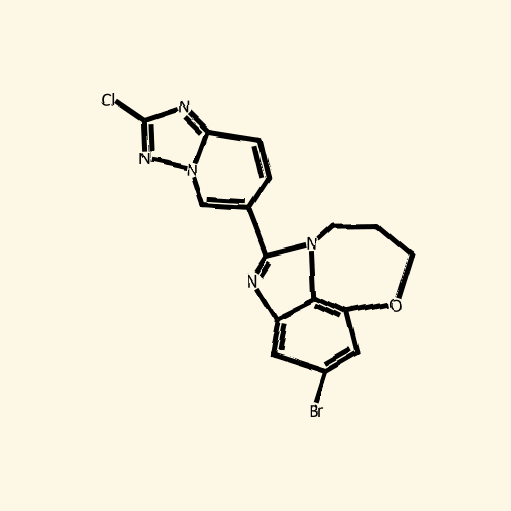 Clc1nc2ccc(-c3nc4cc(Br)cc5c4n3CCCO5)cn2n1